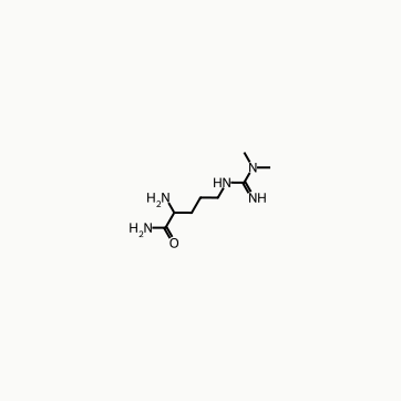 CN(C)C(=N)NCCCC(N)C(N)=O